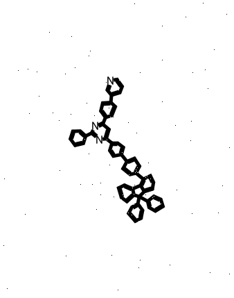 c1ccc(-c2nc(-c3ccc(-c4ccc(-c5cccc6c5-c5ccccc5C6(c5ccccc5)c5ccccc5)cc4)cc3)cc(-c3ccc(-c4cccnc4)cc3)n2)cc1